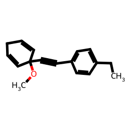 CCc1ccc(C#CC2(OC)C=CCC=C2)cc1